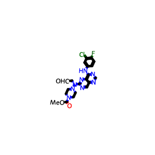 COC(=O)N1CCN(N(CC=O)c2ncc3ncnc(Nc4ccc(F)c(Cl)c4)c3n2)CC1